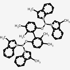 Cc1ccc(OP(n2cc(C)c3ccccc32)n2cc(C)c3ccccc32)c(-c2c(OP(n3cc(C)c4ccccc43)n3cc(C)c4ccccc43)ccc(C)c2C)c1C